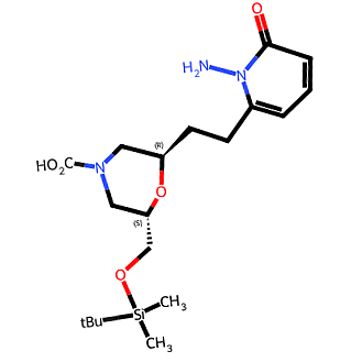 CC(C)(C)[Si](C)(C)OC[C@@H]1CN(C(=O)O)C[C@@H](CCc2cccc(=O)n2N)O1